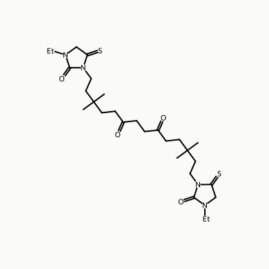 CCN1CC(=S)N(CCC(C)(C)CCC(=O)CCC(=O)CCC(C)(C)CCN2C(=O)N(CC)CC2=S)C1=O